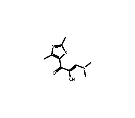 Cc1nc(C)c(C(=O)C(C#N)=CN(C)C)s1